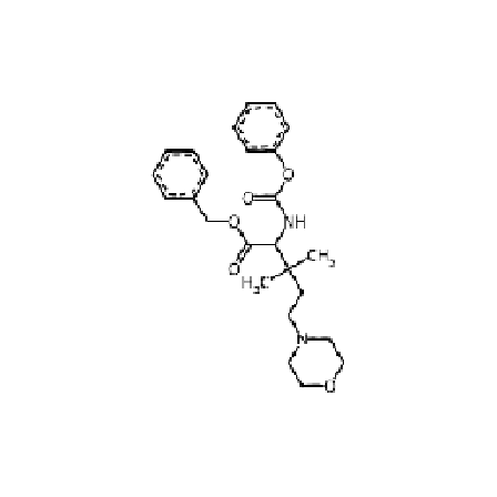 CC(C)(CCN1CCOCC1)C(NC(=O)Oc1ccccc1)C(=O)OCc1ccccc1